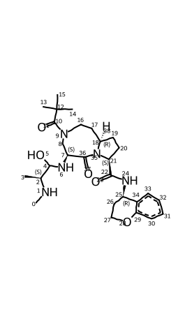 CN[C@@H](C)C(O)N[C@H]1CN(C(=O)C(C)(C)C)CC[C@H]2CC[C@@H](C(=O)N[C@@H]3CCOc4ccccc43)N2C1=O